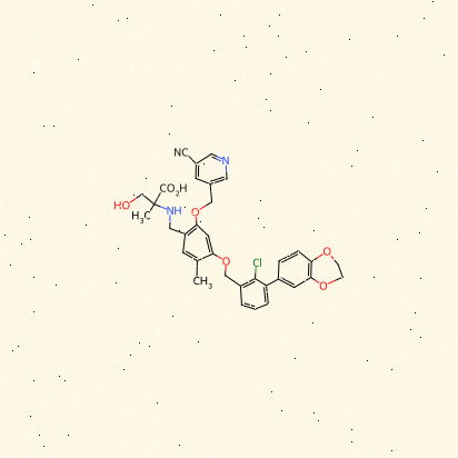 Cc1cc(CNC(C)(CO)C(=O)O)c(OCc2cncc(C#N)c2)cc1OCc1cccc(-c2ccc3c(c2)OCCO3)c1Cl